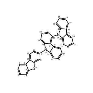 c1ccc2c(c1)sc1cc(-n3c4ccccc4c4c(-n5c6ccccc6c6ccccc65)cccc43)ccc12